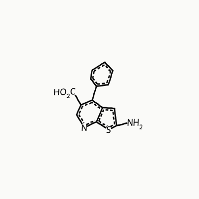 Nc1cc2c(-c3ccccc3)c(C(=O)O)cnc2s1